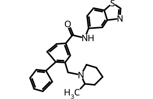 CC1CCCCN1Cc1cc(C(=O)Nc2ccc3scnc3c2)ccc1-c1ccccc1